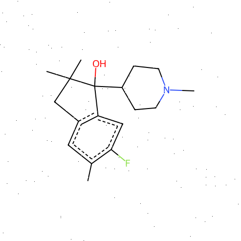 Cc1cc2c(cc1F)C(O)(C1CCN(C)CC1)C(C)(C)C2